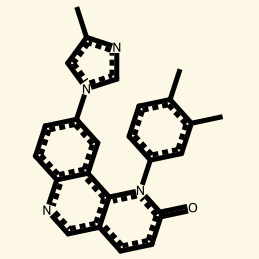 Cc1cn(-c2ccc3ncc4ccc(=O)n(-c5ccc(C)c(C)c5)c4c3c2)cn1